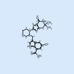 CC1(C)Cc2nc(N3CCOC[C@@H]3Cc3c[nH]c4c(C(=O)O)cc(Cl)cc34)sc2C(=O)N1